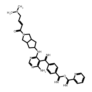 CN(C)C/C=C/C(=O)N1CC2CC(Nc3ncnc(N)c3C(=N)c3ccc(C(=N)OC(=N)c4ccccn4)cc3)CC2C1